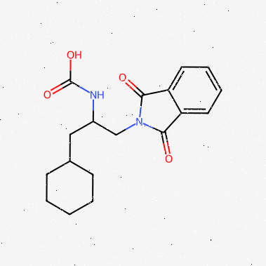 O=C(O)NC(CC1CCCCC1)CN1C(=O)c2ccccc2C1=O